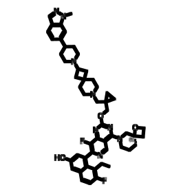 CCc1c(F)ccc2cc(O)cc(-c3ncc4c(N5CCC[C@]6(CCO6)C5)nc(OCC5(CN6CCC7(CC6)CC(N6CCC(c8ccc9cnn(C)c9c8)CC6)C7)CC5)nc4c3F)c12